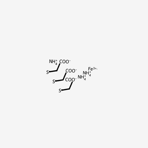 O=C([O-])C[S-].O=C([O-])C[S-].O=C([O-])C[S-].[Fe+3].[NH4+].[NH4+].[NH4+]